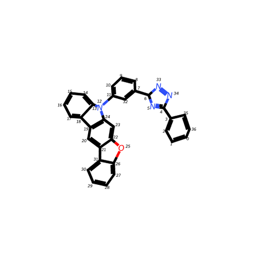 c1ccc(C2=NC(c3cccc(-n4c5ccccc5c5cc6c(cc54)oc4ccccc46)c3)N=N2)cc1